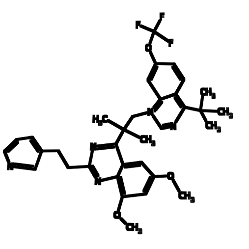 COc1cc(OC)c2nc(CCc3cccnc3)nc(C(C)(C)C[n+]3cnc(C(C)(C)C)c4ccc(OC(F)(F)F)cc43)c2c1